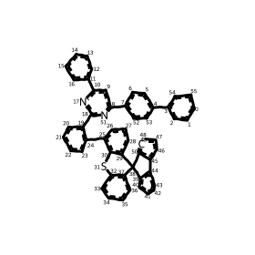 c1ccc(-c2ccc(-c3cc(-c4ccccc4)nc(-c4ccccc4-c4cccc5c4Sc4ccccc4C54c5ccccc5-c5ccccc54)n3)cc2)cc1